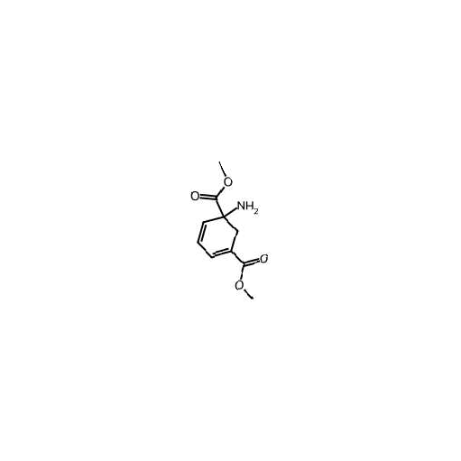 COC(=O)C1=CC=CC(N)(C(=O)OC)C1